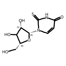 O=c1ccn([C@@H]2O[C@H](CO)C(O)[C@@H]2O)c(=S)[nH]1